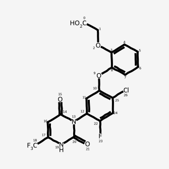 O=C(O)COc1ccccc1Oc1cc(-n2c(=O)cc(C(F)(F)F)[nH]c2=O)c(F)cc1Cl